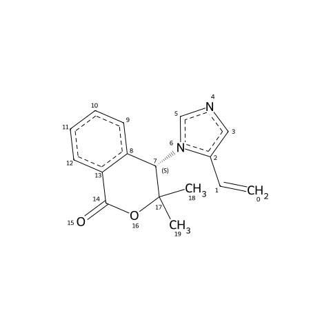 C=Cc1cncn1[C@H]1c2ccccc2C(=O)OC1(C)C